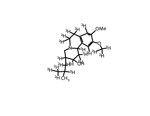 [2H]c1c(OC)c(OC([2H])([2H])[2H])c([2H])c2c1C([2H])([2H])C([2H])([2H])N1CC([2H])(C([2H])([2H])C([2H])(C)C([2H])([2H])[2H])C([2H])(O)C([2H])([2H])C21[2H]